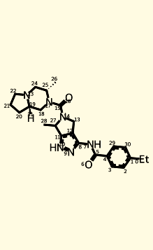 CCc1ccc(C(=O)Nc2n[nH]c3c2CN(C(=O)N2C[C@@H]4CCCN4C[C@@H]2C)C3C)cc1